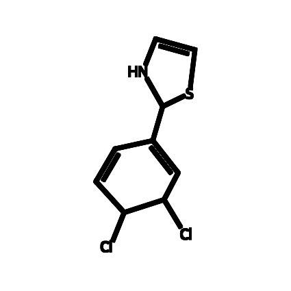 ClC1C=CC(C2NC=CS2)=CC1Cl